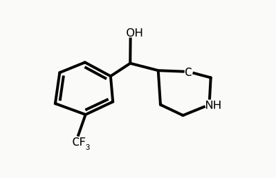 OC(c1cccc(C(F)(F)F)c1)C1CCNCC1